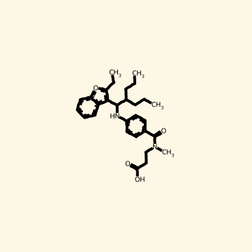 CCCC(CCC)C(Nc1ccc(C(=O)N(C)CCC(=O)O)cc1)c1c(CC)oc2ccccc12